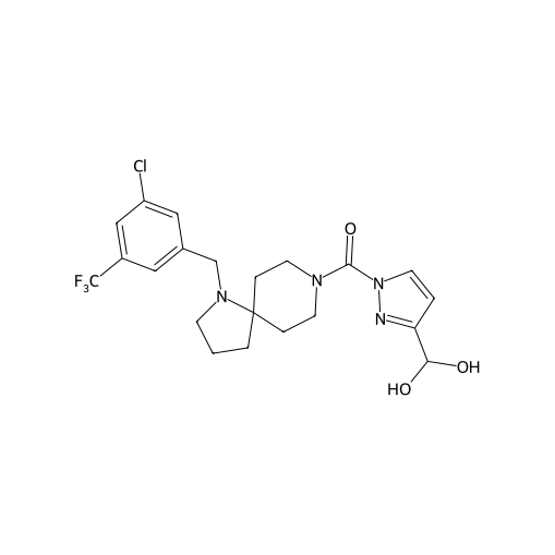 O=C(N1CCC2(CCCN2Cc2cc(Cl)cc(C(F)(F)F)c2)CC1)n1ccc(C(O)O)n1